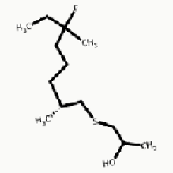 CCC(C)(F)CCC[C@@H](C)CSCC(C)O